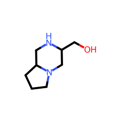 OCC1CN2CCCC2CN1